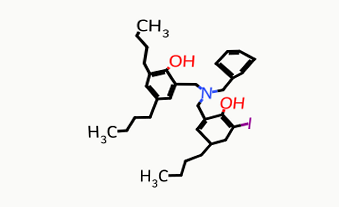 CCCCc1cc(CCCC)c(O)c(CN(CC2=CC(CCCC)CC(I)=C2O)Cc2ccccc2)c1